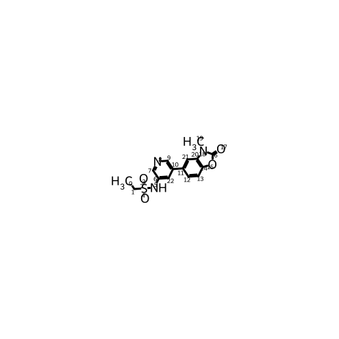 CCS(=O)(=O)Nc1cncc(-c2ccc3oc(=O)n(C)c3c2)c1